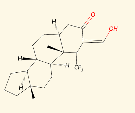 C[C@@]12CCC[C@H]1[C@@H]1CC[C@H]3CC(=O)C(=CO)C(C(F)(F)F)[C@]3(C)[C@H]1CC2